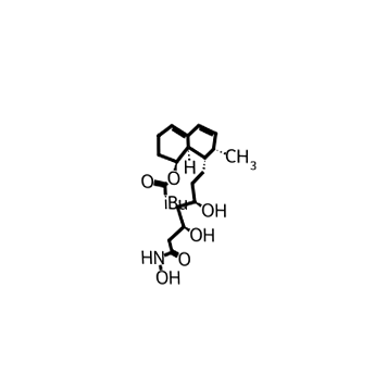 CCC(C)C(=O)O[C@H]1CCC=C2C=C[C@H](C)[C@H](CC[C@@H](O)C[C@@H](O)CC(=O)NO)[C@H]21